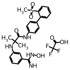 CC(C)(Nc1cccc(C(=N)NO)c1)C(=O)Nc1ccc(-c2ccccc2S(C)(=O)=O)cc1.O=C(O)C(F)(F)F